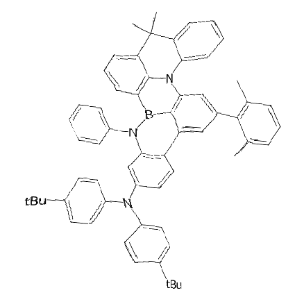 Cc1cccc(C)c1-c1cc2c3c(c1)N1c4ccccc4C(C)(C)c4cccc(c41)B3N(c1ccccc1)c1cc(N(c3ccc(C(C)(C)C)cc3)c3ccc(C(C)(C)C)cc3)ccc1-2